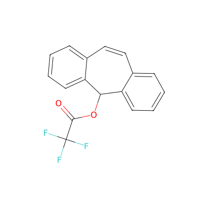 O=C(OC1c2ccccc2C=Cc2ccccc21)C(F)(F)F